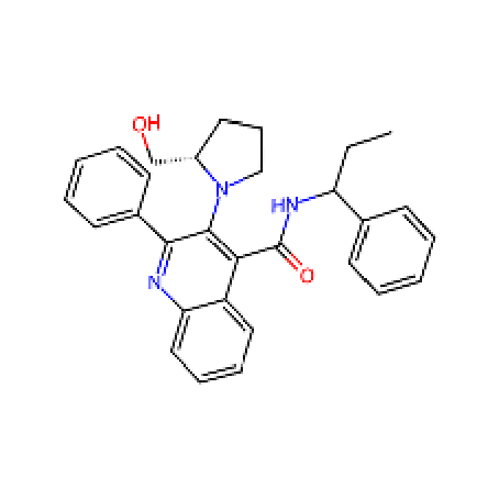 CCC(NC(=O)c1c(N2CCC[C@H]2CO)c(-c2ccccc2)nc2ccccc12)c1ccccc1